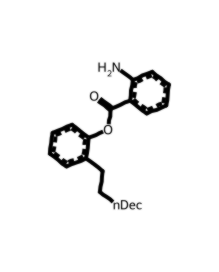 CCCCCCCCCCCCc1ccccc1OC(=O)c1ccccc1N